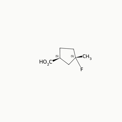 C[C@]1(F)CC[C@H](C(=O)O)C1